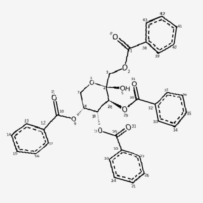 O=C(OC[C@@]1(O)OC[C@@H](OC(=O)c2ccccc2)[C@@H](OC(=O)c2ccccc2)[C@@H]1OC(=O)c1ccccc1)c1ccccc1